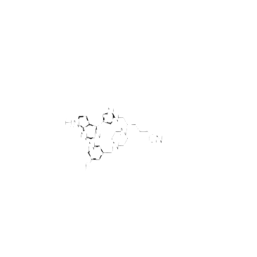 N#CCCC[C@H](Cn1cc(-c2ncnc3[nH]ccc23)cn1)N1CCN(Cc2cncc(F)c2)CC1